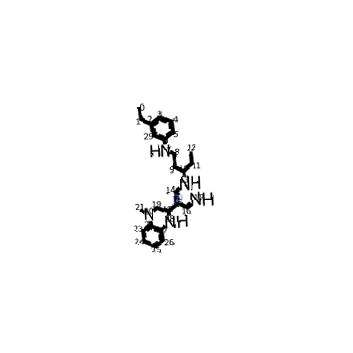 CCc1cccc(NCCC(CC)N/C=C(\C=N)C2CN(C)c3ccccc3N2)c1